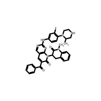 CC1CNCCN1c1ccc(Nc2ncc3cc(C(=O)c4ccccc4)c(=O)n(C4Cc5ccccc5N(C)C4=O)c3n2)cc1F